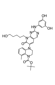 Cc1cccc2c1N(C(=O)OC(C)(C)C)CCN2c1cc2cnc(Nc3cc(O)cc(O)c3)nc2n(CCCCCO)c1=O